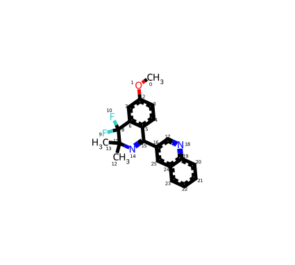 COc1ccc2c(c1)C(F)(F)C(C)(C)N=C2c1cnc2ccccc2c1